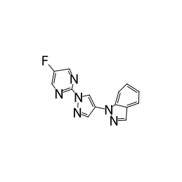 Fc1cnc(-n2cc(-n3ncc4ccccc43)cn2)nc1